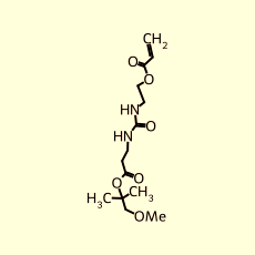 C=CC(=O)OCCNC(=O)NCCC(=O)OC(C)(C)COC